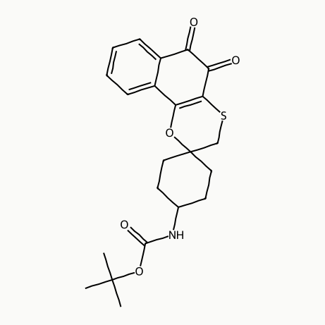 CC(C)(C)OC(=O)NC1CCC2(CC1)CSC1=C(O2)c2ccccc2C(=O)C1=O